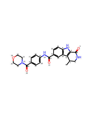 CC1CNC(=O)c2[nH]c3ccc(C(=O)Nc4ccc(C(=O)N5CCOCC5)cc4)cc3c21